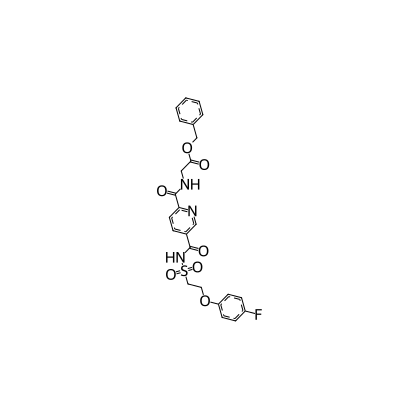 O=C(CNC(=O)c1ccc(C(=O)NS(=O)(=O)CCOc2ccc(F)cc2)cn1)OCc1ccccc1